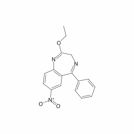 CCOC1=Nc2ccc([N+](=O)[O-])cc2C(c2ccccc2)=NC1